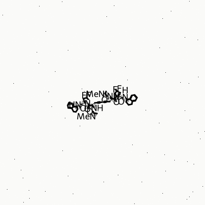 CN[C@@H](C)C(=O)N[C@@H](CC#CC#CC[C@H](NC(=O)[C@H](C)NC)C(=O)N1CC(F)(F)C[C@H]1C(=O)N[C@@H]1CCCc2ccccc21)C(=O)N1CC(F)(F)C[C@H]1C(=O)N[C@@H]1CCCc2ccccc21